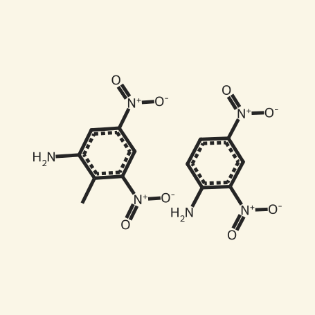 Cc1c(N)cc([N+](=O)[O-])cc1[N+](=O)[O-].Nc1ccc([N+](=O)[O-])cc1[N+](=O)[O-]